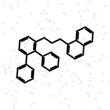 [CH](CCc1cccc2ccccc12)c1cccc(-c2ccccc2)c1-c1ccccc1